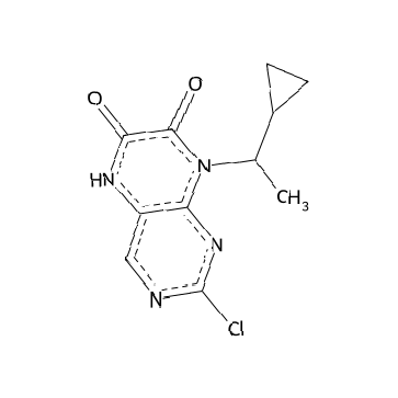 CC(C1CC1)n1c(=O)c(=O)[nH]c2cnc(Cl)nc21